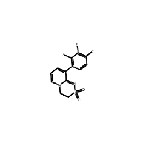 O=S1(=O)CCN2C=CC=C(c3ccc(F)c(F)c3F)C2=N1